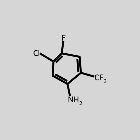 Nc1cc(Cl)c(F)cc1C(F)(F)F